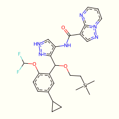 C[Si](C)(C)CCOC(c1cc(C2CC2)ccc1OC(F)F)c1n[nH]cc1NC(=O)c1cnn2cccnc12